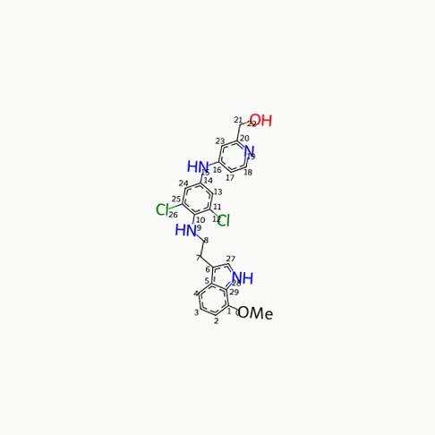 COc1cccc2c(CCNc3c(Cl)cc(Nc4ccnc(CO)c4)cc3Cl)c[nH]c12